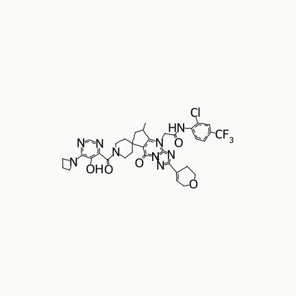 CC1CC2(CCN(C(=O)c3ncnc(N4CCC4)c3O)CC2)c2c1n(CC(=O)Nc1ccc(C(F)(F)F)cc1Cl)c1nc(C3=CCOCC3)nn1c2=O